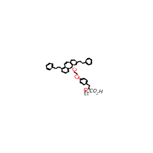 CCOC(Cc1ccc(OCCOC2c3cc(CCc4ccccc4)ccc3C=Cc3c(CCc4ccccc4)cccc32)cc1)C(=O)O